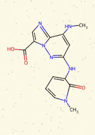 CNc1cc(Nc2cccn(C)c2=O)nn2c(C(=O)O)cnc12